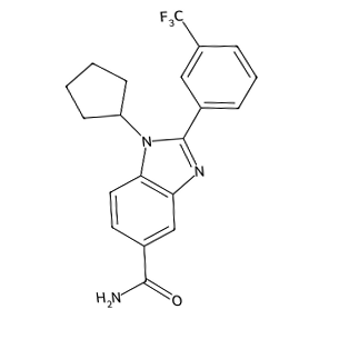 NC(=O)c1ccc2c(c1)nc(-c1cccc(C(F)(F)F)c1)n2C1CCCC1